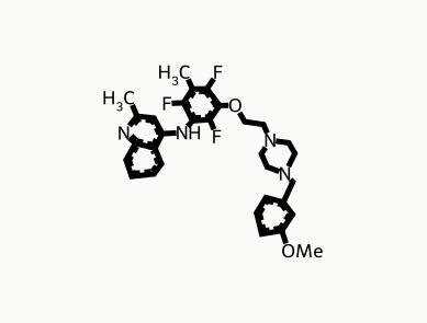 COc1cccc(CN2CCN(CCOc3c(F)c(C)c(F)c(Nc4cc(C)nc5ccccc45)c3F)CC2)c1